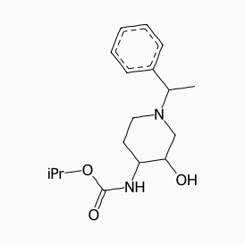 CC(C)OC(=O)NC1CCN(C(C)c2ccccc2)CC1O